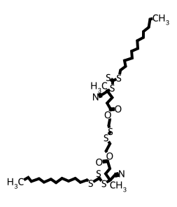 CCCCCCCCCCCCSC(=S)SC(C)(C#N)CCC(=O)OCCSSCCOC(=O)CCC(C)(C#N)SC(=S)SCCCCCCCCCCCC